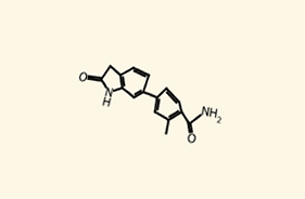 Cc1cc(-c2ccc3c(c2)NC(=O)C3)ccc1C(N)=O